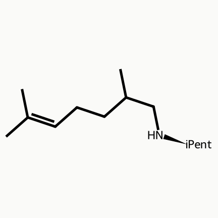 CCC[C@H](C)NCC(C)CCC=C(C)C